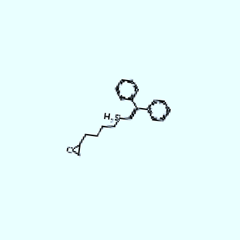 C([SiH2]CCCCC1CO1)=C(c1ccccc1)c1ccccc1